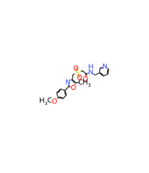 COc1ccc(-c2nc(CS(=O)(=O)CC(=O)NCc3cccnc3)c(C)o2)cc1